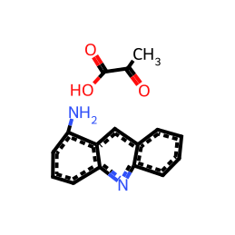 CC(=O)C(=O)O.Nc1cccc2nc3ccccc3cc12